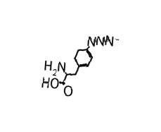 [N-]=[N+]=NC1=CC=C(C[C@H](N)C(=O)O)CC1